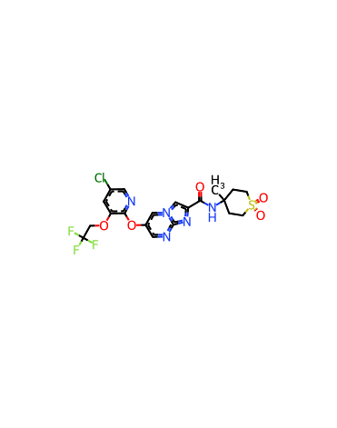 CC1(NC(=O)c2cn3cc(Oc4ncc(Cl)cc4OCC(F)(F)F)cnc3n2)CCS(=O)(=O)CC1